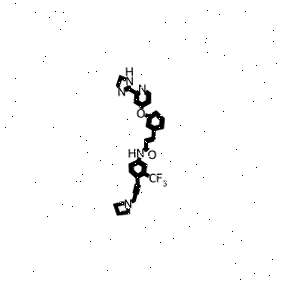 O=C(/C=C/c1cccc(Oc2ccnc(C3=NCCN3)c2)c1)Nc1ccc(C#CCN2CCCC2)c(C(F)(F)F)c1